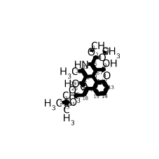 COC(OC)C1=C(C(=O)O)C(c2ccccc2C=CC(=O)OC(C)(C)C)C(C(=O)O)=C(C)N1